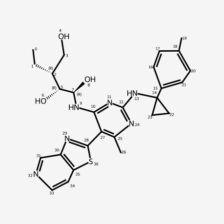 CC[C@H](CO)[C@@H](O)[C@@H](O)Nc1nc(NC2(c3ccc(C)cc3)CC2)nc(C)c1-c1nc2cnccc2s1